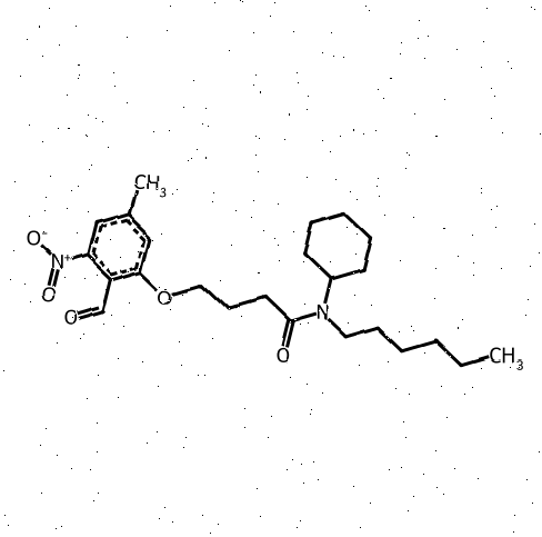 CCCCCCN(C(=O)CCCOc1cc(C)cc([N+](=O)[O-])c1C=O)C1CCCCC1